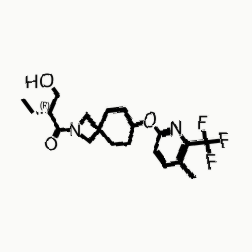 CC[C@H](CO)C(=O)N1CC2(CCC(Oc3ccc(C)c(C(F)(F)F)n3)CC2)C1